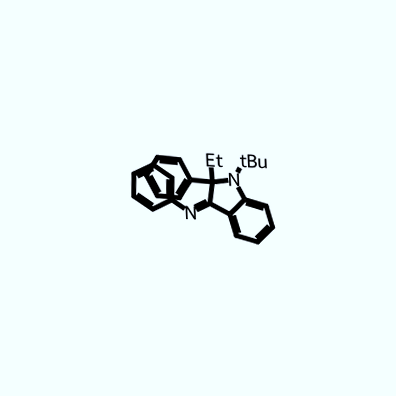 CCC1(c2ccccc2)/C(=N\c2ccccc2)c2ccccc2N1C(C)(C)C